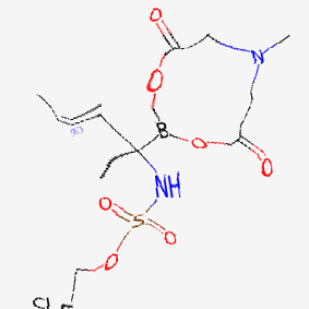 C/C=C/C(C)(NS(=O)(=O)OCC(Cl)(Cl)Cl)B1OC(=O)CN(C)CC(=O)O1